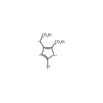 CCOC(=O)Cc1nc(CC)sc1C(=O)OCC